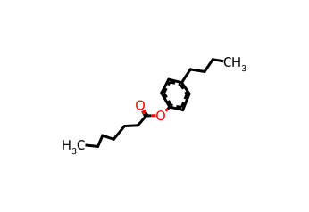 CCCCCCC(=O)Oc1ccc(CCCC)cc1